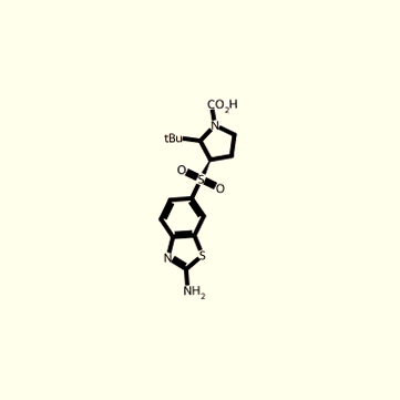 CC(C)(C)C1[C@H](S(=O)(=O)c2ccc3nc(N)sc3c2)CCN1C(=O)O